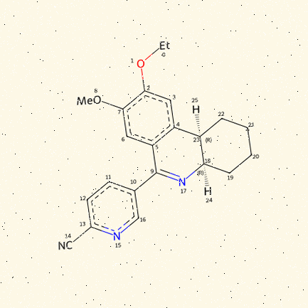 CCOc1cc2c(cc1OC)C(c1ccc(C#N)nc1)=N[C@@H]1CC[C]C[C@H]21